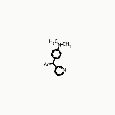 CC(=O)C(c1ccc(N(C)C)cc1)c1cccnc1